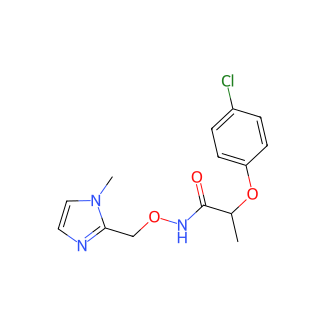 CC(Oc1ccc(Cl)cc1)C(=O)NOCc1nccn1C